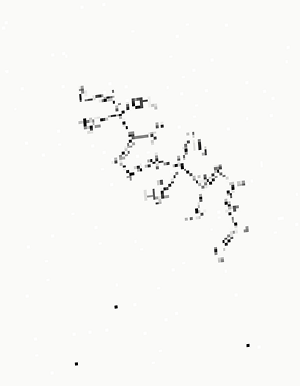 CC(C)(C=O)c1ccc(C(C)(C)c2ccc(C=O)s2)s1